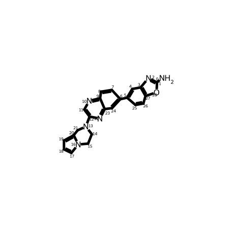 Nc1nc2cc(-c3ccc4ncc(N5CCn6cccc6C5)nc4c3)ccc2o1